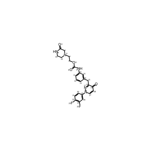 O=C1CN(CCOC(=O)Nc2cccc(Cc3nn(-c4ccc(F)c(F)c4)ccc3=O)c2)CCN1